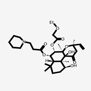 C=C[C@@]1(C)CC(=O)[C@]2(O)[C@@]3(C)[C@@H](O)CCC(C)(C)[C@@H]3[C@H](OC(=O)CCN3CCCCC3)[C@H](OC(=O)COCC)[C@@]2(C)O1